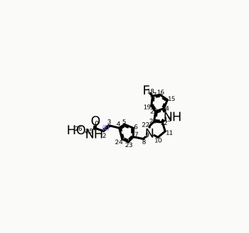 O=C(/C=C/c1ccc(CN2CCc3[nH]c4ccc(F)cc4c3C2)cc1)NO